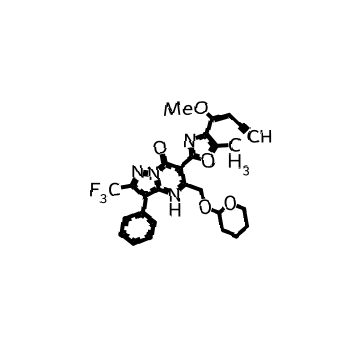 C#C/C=C(/OC)c1nc(-c2c(COC3CCCCO3)[nH]c3c(-c4ccccc4)c(C(F)(F)F)nn3c2=O)oc1C